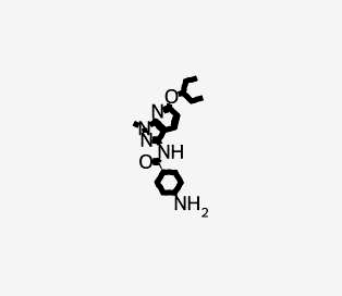 CCC(CC)Oc1ccc2c(NC(=O)[C@H]3CC[C@@H](N)CC3)nn(C)c2n1